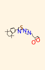 CC1(C)CCC(C)(C)c2cc(-c3csc(N4CCN(CCC5C=COC5=O)CC4)n3)ccc21